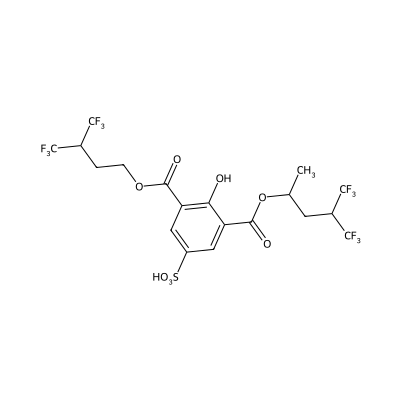 CC(CC(C(F)(F)F)C(F)(F)F)OC(=O)c1cc(S(=O)(=O)O)cc(C(=O)OCCC(C(F)(F)F)C(F)(F)F)c1O